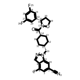 N#Cc1cc(F)c2cnn(C[C@H]3CC[C@H](C(=O)N4OCC[C@H]4c4cc(F)cc(F)c4)CC3)c2c1